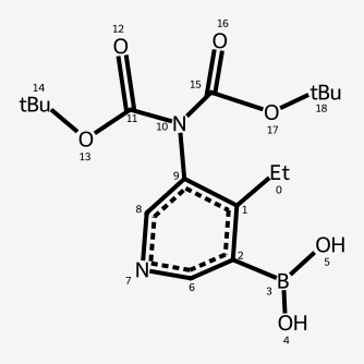 CCc1c(B(O)O)cncc1N(C(=O)OC(C)(C)C)C(=O)OC(C)(C)C